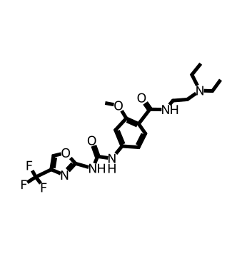 CCN(CC)CCNC(=O)c1ccc(NC(=O)Nc2nc(C(F)(F)F)co2)cc1OC